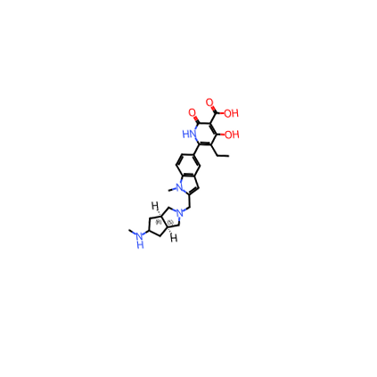 CCc1c(-c2ccc3c(c2)cc(CN2C[C@H]4CC(NC)C[C@H]4C2)n3C)[nH]c(=O)c(C(=O)O)c1O